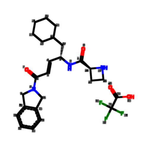 O=C(N[C@H](/C=C/C(=O)N1Cc2ccccc2C1)CC1CCCCC1)[C@@H]1CCN1.O=C(O)C(F)(F)F